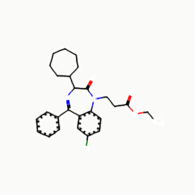 CCOC(=O)CCN1C(=O)C(C2CCCCCC2)N=C(c2ccccc2)c2cc(Cl)ccc21